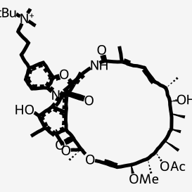 CO[C@H]1/C=C/O[C@@]2(C)Oc3c(C)c(O)c4c(=O)c(c5oc6cc(CCC[N+](C)(C)C(C)(C)C)ccc6nc-5c4c3C2=O)NC(=O)/C(C)=C\C=C\[C@H](C)[C@H](O)[C@@H](C)[C@@H](C)[C@@H](C)[C@H](OC(C)=O)[C@@H]1C